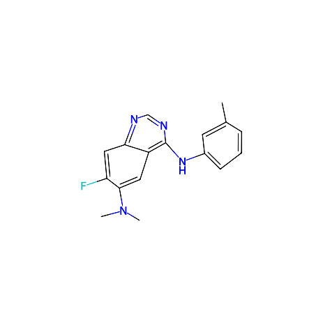 Cc1cccc(Nc2ncnc3cc(F)c(N(C)C)cc23)c1